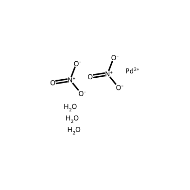 O.O.O.O=[N+]([O-])[O-].O=[N+]([O-])[O-].[Pd+2]